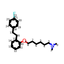 CN(C)CCCCCCOc1ccccc1CCc1ccc(F)cc1